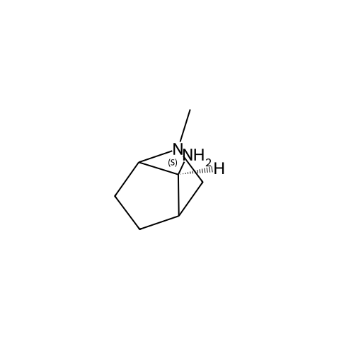 CN1CC2CCC1[C@H]2N